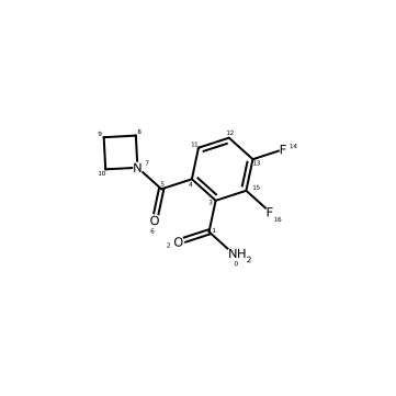 NC(=O)c1c(C(=O)N2CCC2)ccc(F)c1F